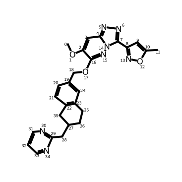 COc1cc2nnc(-c3cc(C)on3)n2nc1OCc1ccc2c(c1)CCC(Cc1ncccn1)C2